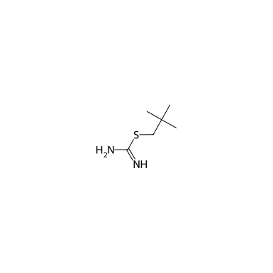 CC(C)(C)CSC(=N)N